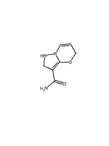 NC(=O)C1=C2OCC=CN2NC1